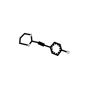 Clc1ccc(C#CC2SCCCS2)cc1